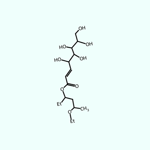 CCOC(C)CC(CC)OC(=O)/C=C/C(O)C(O)C(O)C(O)CO